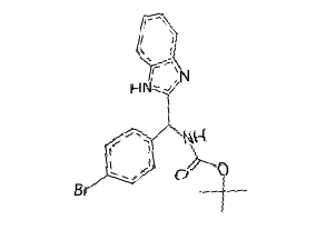 CC(C)(C)OC(=O)NC(c1ccc(Br)cc1)c1nc2ccccc2[nH]1